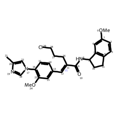 COc1ccc2c(c1)C(NC(=O)/C(=C/c1ccc(-n3cnc(C)c3)c(OC)c1)CCCCl)CC2